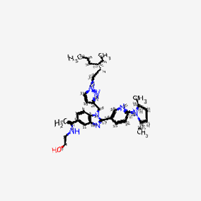 C=C(NCCO)c1ccc2c(c1)nc(-c1ccc(N3[C@@H](C)CC[C@@H]3C)nc1)n2Cc1ccn(CC[C@@H](CC)CCC)n1